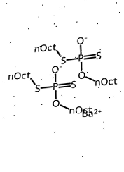 CCCCCCCCOP([O-])(=S)SCCCCCCCC.CCCCCCCCOP([O-])(=S)SCCCCCCCC.[Ba+2]